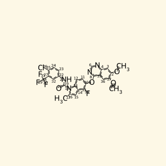 COc1cc2ncnc(Oc3ccc4c(cc(C)n4C(=O)Nc4ccc(Cl)c(C(F)(F)F)c4)c3F)c2cc1OC